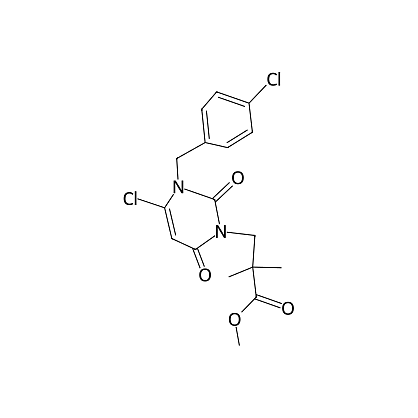 COC(=O)C(C)(C)Cn1c(=O)cc(Cl)n(Cc2ccc(Cl)cc2)c1=O